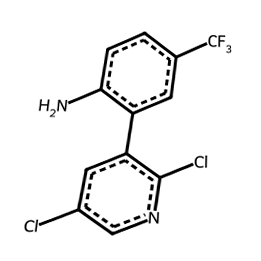 Nc1ccc(C(F)(F)F)cc1-c1cc(Cl)cnc1Cl